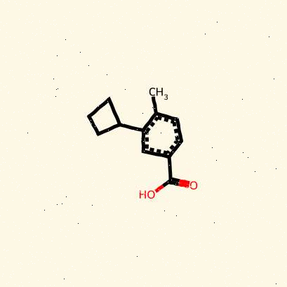 Cc1ccc(C(=O)O)cc1C1CCC1